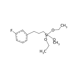 CCO[Si](CCCc1cccc(F)c1)(OC)OCC